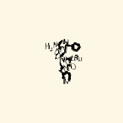 CC(C)(C)OC(=O)n1c(CNC(=O)Cn2c(-c3ccccc3)ncc(N)c2=O)cc2cnccc21